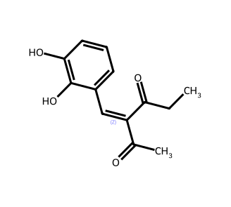 CCC(=O)/C(=C\c1cccc(O)c1O)C(C)=O